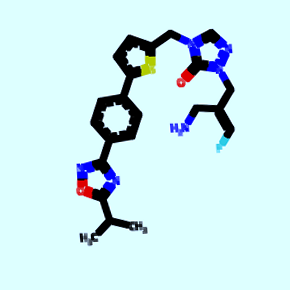 CC(C)c1nc(-c2ccc(-c3ccc(Cn4cnn(C/C(=C/F)CN)c4=O)s3)cc2)no1